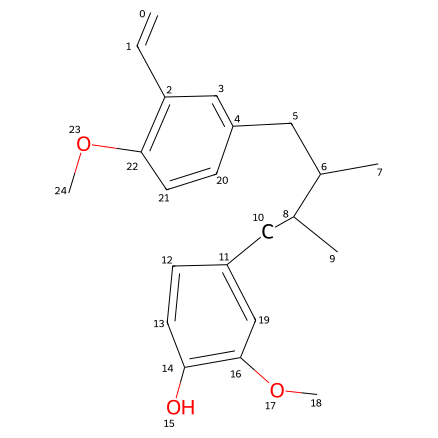 C=Cc1cc(CC(C)C(C)Cc2ccc(O)c(OC)c2)ccc1OC